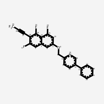 Fc1cc2cc(OCc3ccc(-c4ccccc4)cn3)cc(F)c2c(F)c1C#CC(F)(F)F